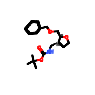 CC(C)(C)OC(=O)NC[C@H]1CCO[C@@H]1COCc1ccccc1